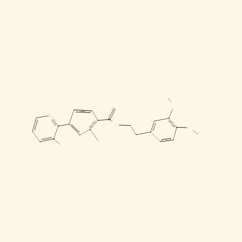 COc1ccc(CCNC(=O)c2ccc(-c3ncccc3Cl)cc2F)cc1OC